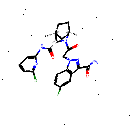 NC(=O)c1nn(CC(=O)N2[C@@H]3CC[C@@H](C3)[C@H]2C(=O)Nc2cccc(Cl)n2)c2ccc(F)cc12